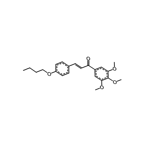 CCCCOc1ccc(/C=C/C(=O)c2cc(OC)c(OC)c(OC)c2)cc1